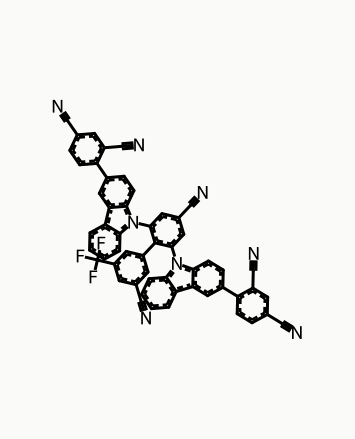 N#Cc1cc(-c2c(-n3c4ccccc4c4cc(-c5ccc(C#N)cc5C#N)ccc43)cc(C#N)cc2-n2c3ccccc3c3cc(-c4ccc(C#N)cc4C#N)ccc32)cc(C(F)(F)F)c1